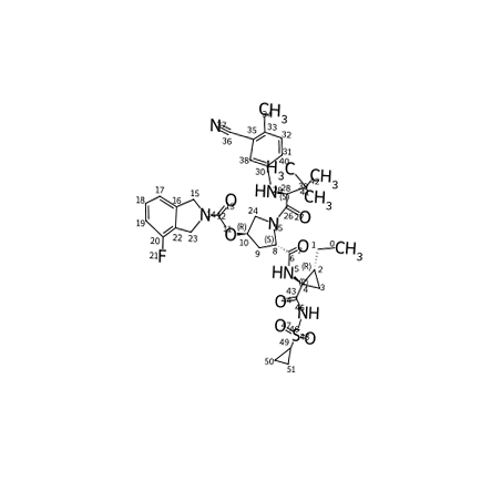 CC[C@@H]1C[C@]1(NC(=O)[C@@H]1C[C@@H](OC(=O)N2Cc3cccc(F)c3C2)CN1C(=O)[C@@H](Nc1ccc(C)c(C#N)c1)C(C)(C)C)C(=O)NS(=O)(=O)C1CC1